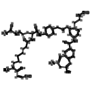 CCCC1=Cc2ccc(C(=O)Nc3cnc(CCNC=O)c(COCc4ccc(NC(=O)C(CCCNC(N)=O)NC(=O)CCCCCCN(C)C(=O)/C=C\C=O)cc4)c3)cc2N=C(N)C1